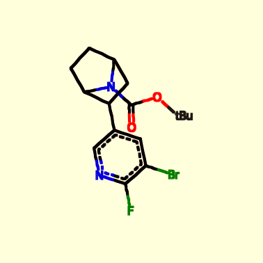 CC(C)(C)OC(=O)N1C2CCC1C(c1cnc(F)c(Br)c1)C2